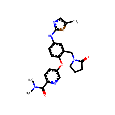 Cc1cnc(Nc2ccc(Oc3ccc(C(=O)N(C)C)nc3)c(CN3CCCC3=O)c2)s1